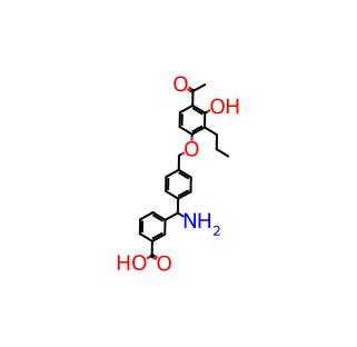 CCCc1c(OCc2ccc(C(N)c3cccc(C(=O)O)c3)cc2)ccc(C(C)=O)c1O